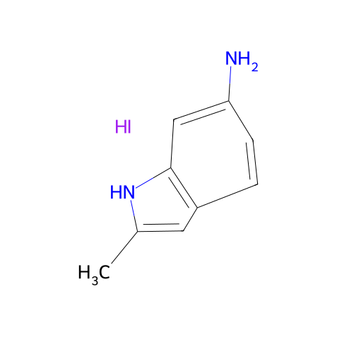 Cc1cc2ccc(N)cc2[nH]1.I